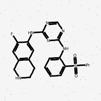 CC(C)S(=O)(=O)c1ccccc1Nc1ncnc(Nc2cc3c(cc2F)CNCC3)n1